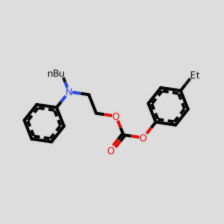 CCCCN(CCOC(=O)Oc1ccc(CC)cc1)c1ccccc1